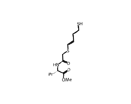 COC(=O)[C@@H](NC(=O)CS/C=C/CCS)C(C)C